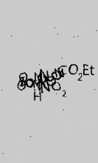 CCOC(=O)N1CCC(Oc2ncnc(Nc3ccc(S(C)(=O)=O)cc3)c2[N+](=O)[O-])CC1